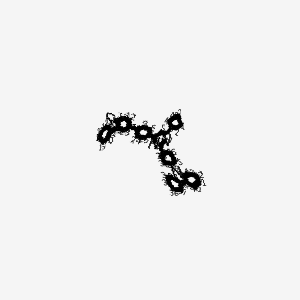 c1ccc(-c2cc(-c3ccc(-c4ccc5sc6ccccc6c5c4)cc3)nc(-c3ccc(-n4c5ccccc5c5ccccc54)cc3)n2)cc1